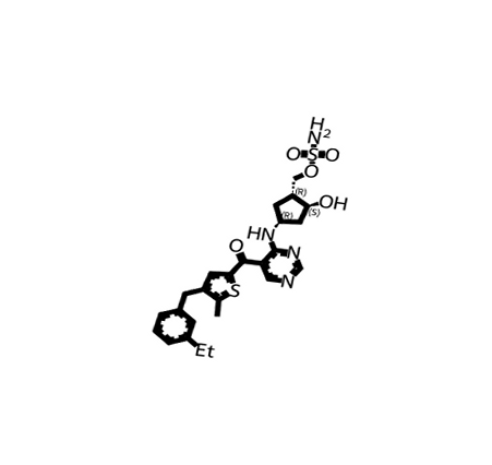 CCc1cccc(Cc2cc(C(=O)c3cncnc3N[C@@H]3C[C@H](COS(N)(=O)=O)[C@@H](O)C3)sc2C)c1